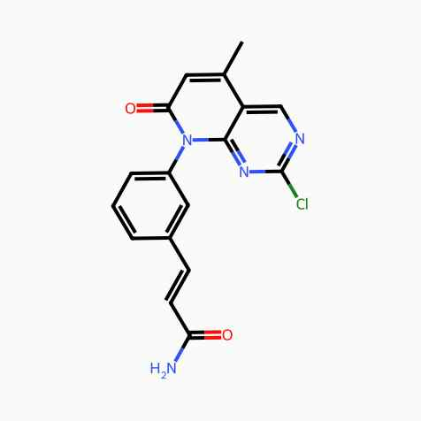 Cc1cc(=O)n(-c2cccc(C=CC(N)=O)c2)c2nc(Cl)ncc12